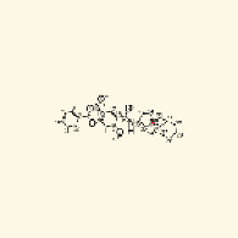 COc1cc(OCc2ccccc2)c([N+](=O)[O-])cc1C(=O)NC1CCN(C2C3CCCC2CCC3)C1